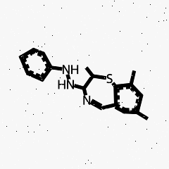 Cc1cc(C)c2c(c1)C=NC(NNc1ccccc1)C(C)S2